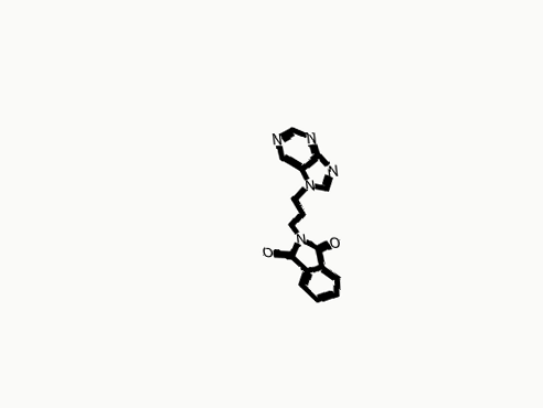 O=C1c2ccccc2C(=O)N1CCCn1cnc2ncncc21